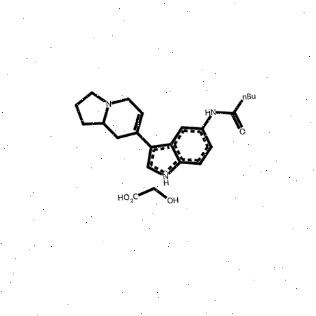 CCCCC(=O)Nc1ccc2[nH]cc(C3=CCN4CCCC4C3)c2c1.O=C(O)CO